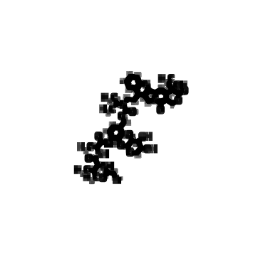 CC[C@@]1(O)C(=O)OCc2c1cc1n(c2=O)Cc2c-1nc1ccccc1c2CCN(C(=O)OCc1ccc(NC(=O)[C@H](C)NC(=O)[C@@H](NC(=O)CBr)C(C)C)c(OC2OCC(O)C(O)C2O)c1)C(C)C